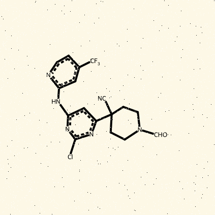 N#CC1(c2cc(Nc3cc(C(F)(F)F)ccn3)nc(Cl)n2)CCN([C]=O)CC1